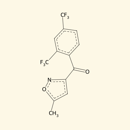 Cc1cc(C(=O)c2ccc(C(F)(F)F)cc2C(F)(F)F)no1